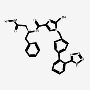 CCCCc1nc(C(=O)N[C@H](CC(=O)NO)Cc2ccccc2)cn1Cc1ccc(-c2ccccc2-c2nnn[nH]2)cc1